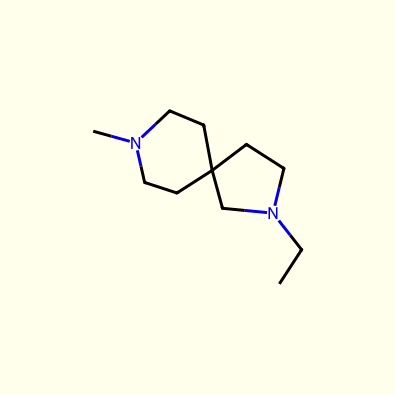 CCN1CCC2(CCN(C)CC2)C1